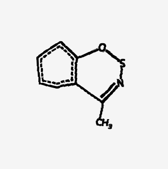 CC1=NSOc2ccccc21